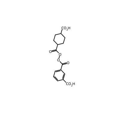 O=C(O)c1cccc(C(=O)OOC(=O)C2CCC(C(=O)O)CC2)c1